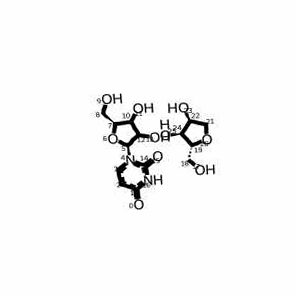 O=c1ccn([C@H]2O[C@@H](CO)C(O)C2O)c(=O)[nH]1.OC[C@H]1O[CH][C@H](O)[C@@H]1O